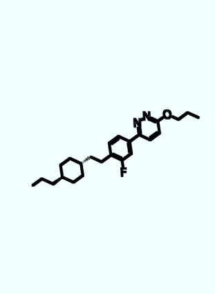 CCCOc1ccc(-c2ccc(CC[C@H]3CC[C@H](CCC)CC3)c(F)c2)nn1